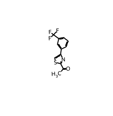 CC(=O)c1nc(-c2cccc(C(F)(F)F)c2)cs1